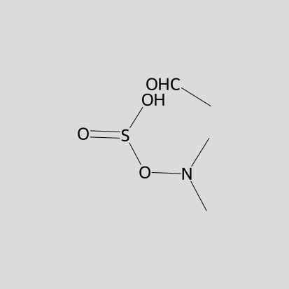 CC=O.CN(C)OS(=O)O